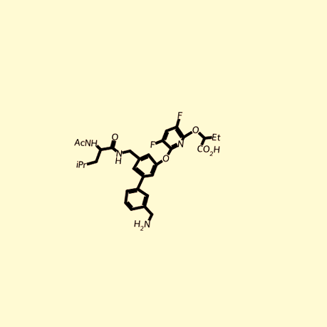 CCC(Oc1nc(Oc2cc(CNC(=O)C(CC(C)C)NC(C)=O)cc(-c3cccc(CN)c3)c2)c(F)cc1F)C(=O)O